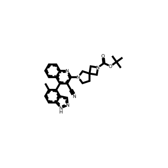 Cc1ccc2[nH]ncc2c1-c1c(C#N)c(N2CCC3(CN(C(=O)OC(C)(C)C)C3)C2)nc2ccccc12